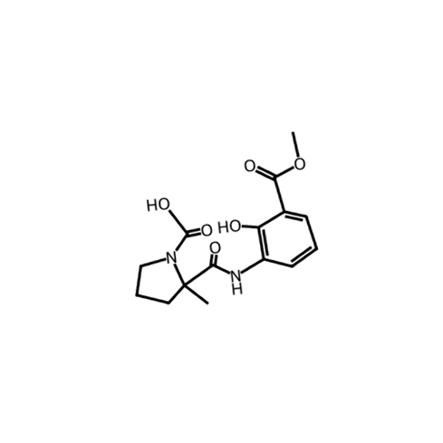 COC(=O)c1cccc(NC(=O)C2(C)CCCN2C(=O)O)c1O